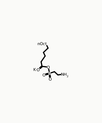 CCCCCCCCCCCCC(=O)OS(=O)(=O)CCN.[K]